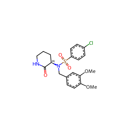 COc1ccc(CN([C@@H]2CCCNC2=O)S(=O)(=O)c2ccc(Cl)cc2)cc1OC